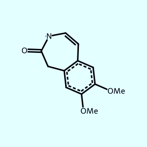 COc1cc2c(cc1OC)CC(=O)[N]C=C2